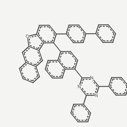 c1ccc(-c2ccc(-c3ccc4oc5cc6ccccc6cc5c4c3-c3ccc(-c4nc(-c5ccccc5)nc(-c5ccccc5)n4)c4ccccc34)cc2)cc1